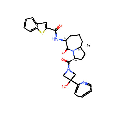 O=C(N[C@H]1CCC[C@H]2CC[C@@H](C(=O)N3CC(O)(c4ccccn4)C3)N2C1=O)c1cc2ccccc2s1